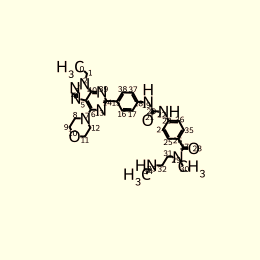 CCn1nnc2c(N3CCOCC3)nc(-c3ccc(NC(=O)Nc4ccc(C(=O)N(C)CCNC)cc4)cc3)nc21